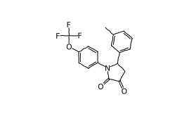 Cc1cccc(C2CC(=O)C(=O)N2c2ccc(OC(F)(F)F)cc2)c1